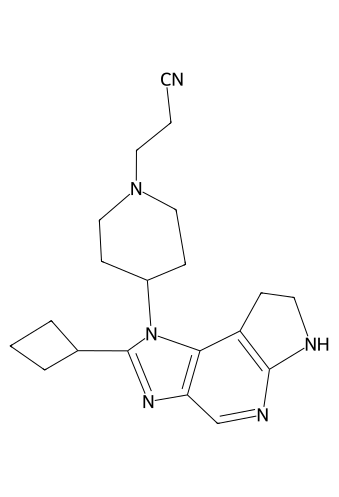 N#CCCN1CCC(n2c(C3CCC3)nc3cnc4c(c32)CCN4)CC1